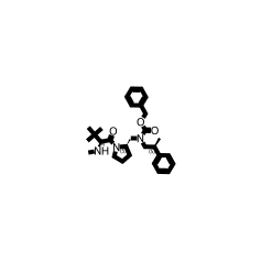 CN[C@H](C(=O)N1CCC[C@H]1CN(C[C@@H](C)c1ccccc1)C(=O)OCc1ccccc1)C(C)(C)C